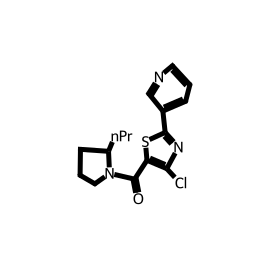 CCCC1CCCN1C(=O)c1sc(-c2cccnc2)nc1Cl